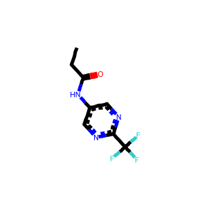 CCC(=O)Nc1cnc(C(F)(F)F)nc1